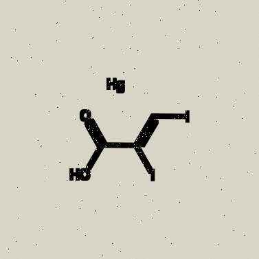 O=C(O)C(I)=CI.[Hg]